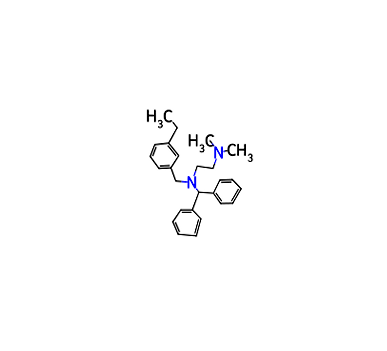 CCc1cccc(CN(CCN(C)C)C(c2ccccc2)c2ccccc2)c1